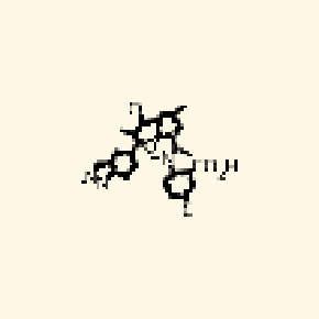 Cc1cc([C@@H](C)Nc2ccc(Cl)cc2C(=O)O)c2oc(-c3ccc4nn(C)cc4c3)c(C)c(=O)c2c1